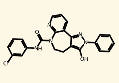 O=C(Nc1cccc(Cl)c1)N1CCc2c(nn(-c3ccccc3)c2O)-c2cccnc21